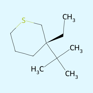 CC[C@@]1(C(C)(C)C)CCCSC1